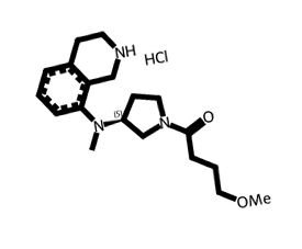 COCCCC(=O)N1CC[C@H](N(C)c2cccc3c2CNCC3)C1.Cl